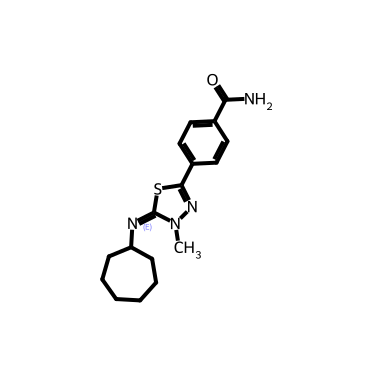 Cn1nc(-c2ccc(C(N)=O)cc2)s/c1=N/C1CCCCCC1